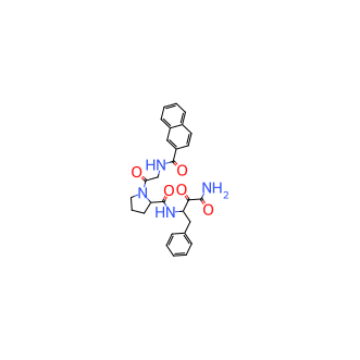 NC(=O)C(=O)C(Cc1ccccc1)NC(=O)C1CCCN1C(=O)CNC(=O)c1ccc2ccccc2c1